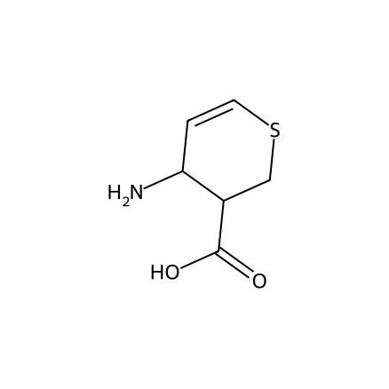 NC1C=CSCC1C(=O)O